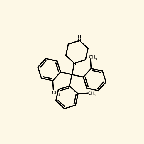 Cc1ccccc1C(c1ccccc1C)(c1ccccc1C)N1CCNCC1